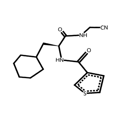 N#CCNC(=O)[C@H](CC1CCCCC1)NC(=O)c1ccsc1